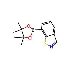 CC1(C)OB(c2cccc3cnsc23)OC1(C)C